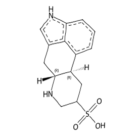 O=S(=O)(O)C1CN[C@@H]2Cc3c[nH]c4cccc(c34)[C@H]2C1